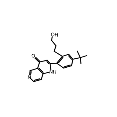 CC(C)(C)c1ccc(-c2cc(=O)c3cnccc3[nH]2)c(CCCO)c1